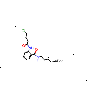 CCCCCCCCCCCCCCNC(=O)c1ccccc1NC(=O)CCCCl